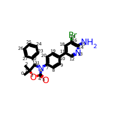 CC1(C)OC(=O)N(c2ccc(-c3cnc(N)c(Br)c3)cc2)[C@H]1c1ccccc1